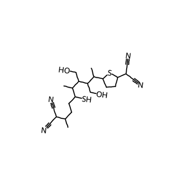 CC(CCC(S)C(C)C(CO)C(CO)C(C)C1CCC(C(C#N)C#N)S1)C(C#N)C#N